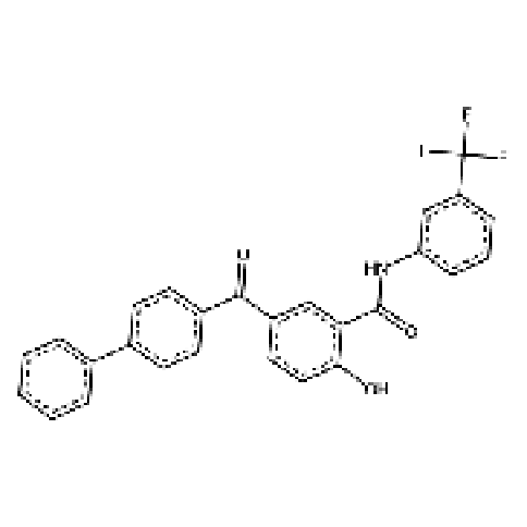 O=C(c1ccc(-c2ccccc2)cc1)c1ccc(O)c(C(=O)Nc2cccc(C(F)(F)F)c2)c1